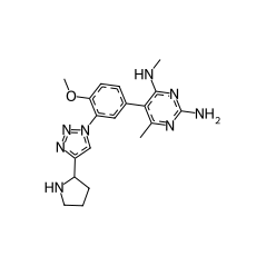 CNc1nc(N)nc(C)c1-c1ccc(OC)c(-n2cc(C3CCCN3)nn2)c1